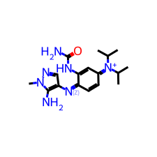 CC(C)[N+](=C1C=C/C(=N/c2cnn(C)c2N)C(NC(N)=O)=C1)C(C)C